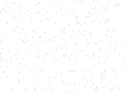 CCCCOCCCNC(=O)[C@H](Cc1ccccc1)NC(=O)[C@H]1O[C@@H]1C(=O)OCC